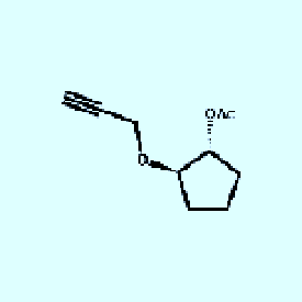 C#CCO[C@@H]1CCC[C@H]1OC(C)=O